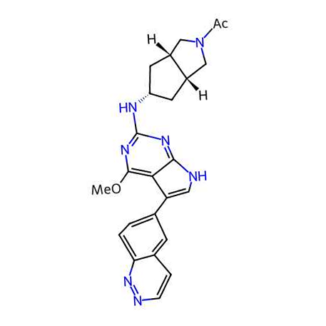 COc1nc(N[C@@H]2C[C@@H]3CN(C(C)=O)C[C@@H]3C2)nc2[nH]cc(-c3ccc4nnccc4c3)c12